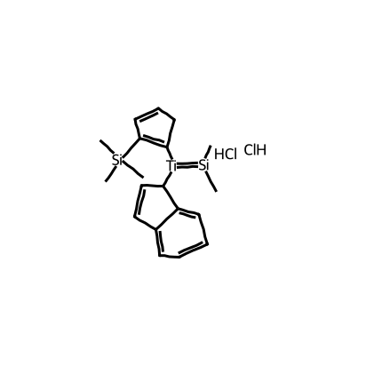 C[Si](C)=[Ti]([C]1=C([Si](C)(C)C)C=CC1)[CH]1C=Cc2ccccc21.Cl.Cl